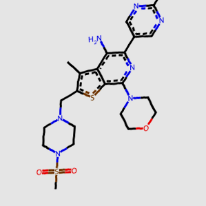 Cc1c(CN2CCN(S(C)(=O)=O)CC2)sc2c(N3CCOCC3)nc(-c3cnc(N)nc3)c(N)c12